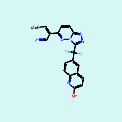 CN/C=C(\C=N)c1ccc2nnc(C(F)(F)c3ccc4nc(O)ccc4c3)n2n1